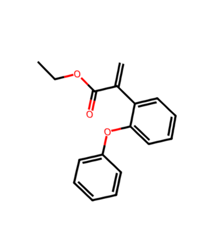 C=C(C(=O)OCC)c1ccccc1Oc1ccccc1